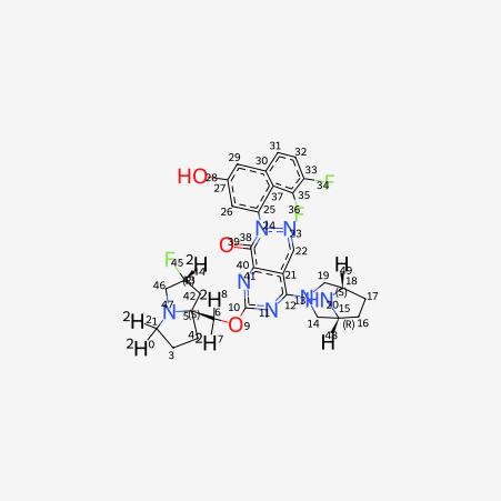 [2H]C1([2H])CC[C@@]2(C([2H])([2H])Oc3nc(N4C[C@H]5CC[C@@H](C4)N5)c4cnn(-c5cc(O)cc6ccc(F)c(F)c56)c(=O)c4n3)C[C@@]([2H])(F)CN12